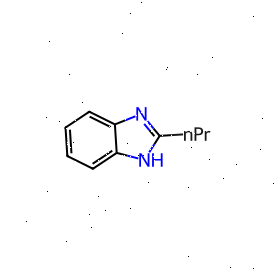 [CH2]CCc1nc2ccccc2[nH]1